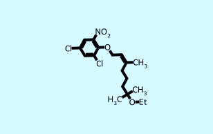 CCOC(C)(C)CCCC(C)=CCOc1c(Cl)cc(Cl)cc1[N+](=O)[O-]